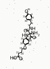 COc1ccc(CCNC(=O)C(N)(Nc2ccc(OCCCC(=O)O)cc2)C(C)=O)cc1